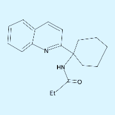 CCC(=O)NC1(c2ccc3ccccc3n2)CCCCC1